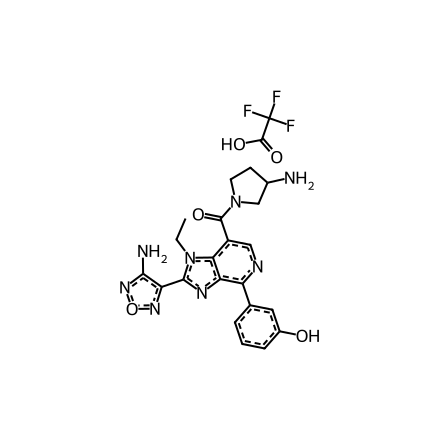 CCn1c(-c2nonc2N)nc2c(-c3cccc(O)c3)ncc(C(=O)N3CCC(N)C3)c21.O=C(O)C(F)(F)F